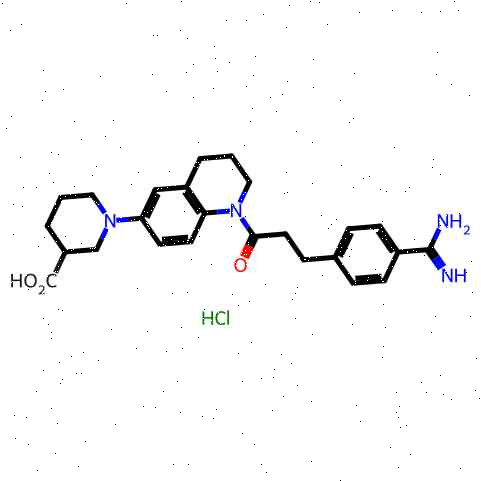 Cl.N=C(N)c1ccc(CCC(=O)N2CCCc3cc(N4CCCC(C(=O)O)C4)ccc32)cc1